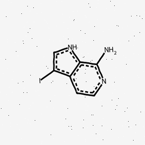 Nc1nccc2c(I)c[nH]c12